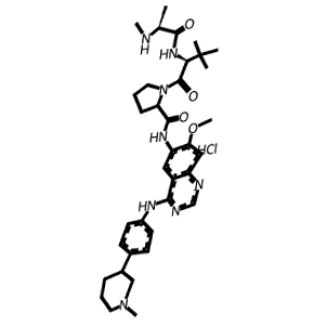 CN[C@@H](C)C(=O)N[C@H](C(=O)N1CCCC1C(=O)Nc1cc2c(Nc3ccc(C4CCCN(C)C4)cc3)ncnc2cc1OC)C(C)(C)C.Cl